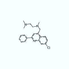 CN(C)CCN(C)Cc1cc(-c2ccccc2)nc2cc(Cl)ccc12